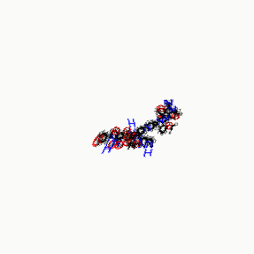 CC(C)Oc1ccccc1[C@@H]1CN([C@@H]2COC(C)(C)c3nc(C#N)c4c(c32)C(C)(C)CCO4)CCN1C1CC2(CCN(c3ccc(C(=O)NS(=O)(=O)c4cc5c(c([N+](=O)[O-])c4)N[C@H](C4CCOCC4)CO5)c(N4c5cc6cc[nH]c6nc5O[C@H]5COCC[C@@H]54)c3)CC2)C1